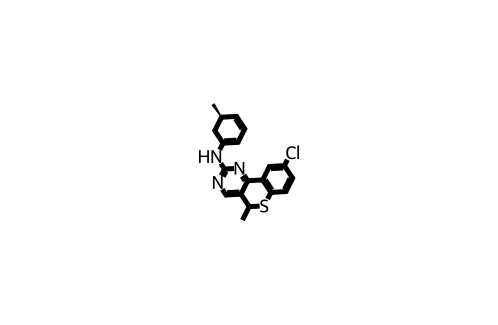 CC1Sc2ccc(Cl)cc2-c2nc(NC3=CC=C[C@H](C)C3)ncc21